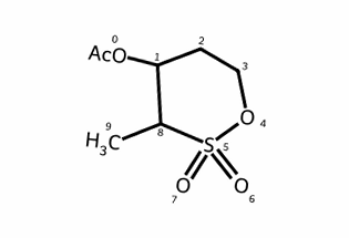 CC(=O)OC1CCOS(=O)(=O)C1C